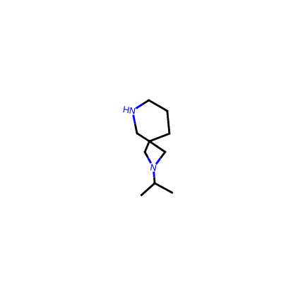 CC(C)N1CC2(CCCNC2)C1